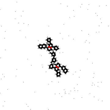 Cc1cc(-c2ccc(N(c3ccc(-c4ccc5ccccc5c4)cc3)c3ccccc3-c3ccc4sc5ccccc5c4c3)c(C)c2)ccc1N(c1ccc(-c2ccc3ccccc3c2)cc1)c1ccccc1-c1ccc2sc3ccccc3c2c1